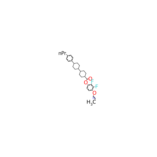 C/C=C/Oc1ccc(OC(=O)C2CCC(C3CCC(c4ccc(CCC)cc4)CC3)CC2)c(F)c1F